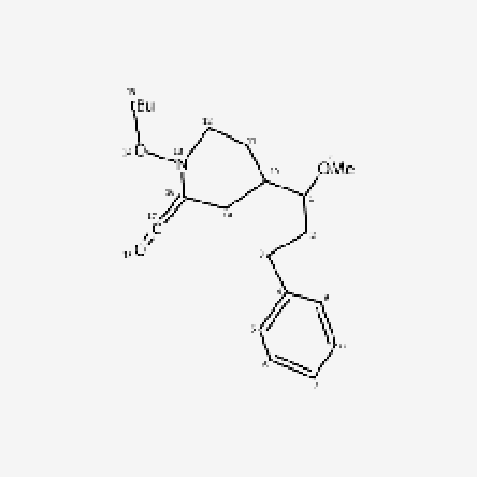 COC(CCc1ccccc1)C1CCN(OC(C)(C)C)C(=C=O)C1